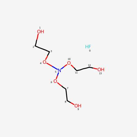 F.OCCON(OCCO)OCCO